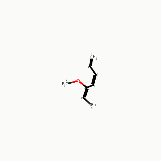 C=C/C=C\C(=C/C(C)CC)OC(F)(F)F